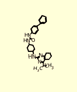 CN(C)c1nc(NC2CCC(NC(=O)Nc3ccc(-c4ccccc4)cc3)CC2)nc2c1CCCC2